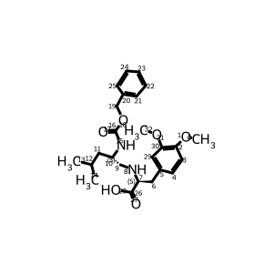 COc1ccc(C[C@H](NC[C@H](CC(C)C)NC(=O)OCc2ccccc2)C(=O)O)cc1OC